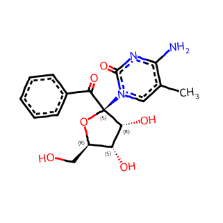 Cc1cn([C@]2(C(=O)c3ccccc3)O[C@H](CO)[C@@H](O)[C@H]2O)c(=O)nc1N